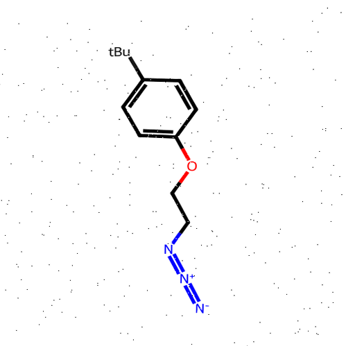 CC(C)(C)c1ccc(OCCN=[N+]=[N-])cc1